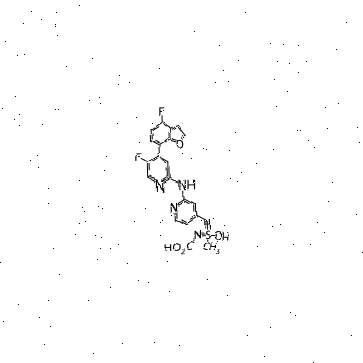 C[SH](O)(Cc1ccnc(Nc2cc(-c3ccc(F)c4ccoc34)c(F)cn2)c1)=NC(=O)O